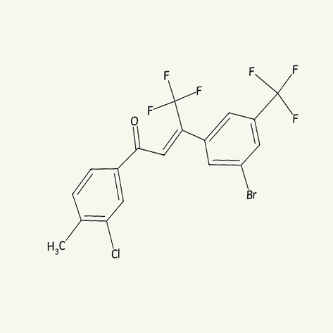 Cc1ccc(C(=O)C=C(c2cc(Br)cc(C(F)(F)F)c2)C(F)(F)F)cc1Cl